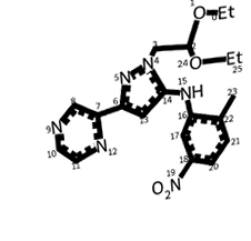 CCOC(Cn1nc(-c2cnccn2)cc1Nc1cc([N+](=O)[O-])ccc1C)OCC